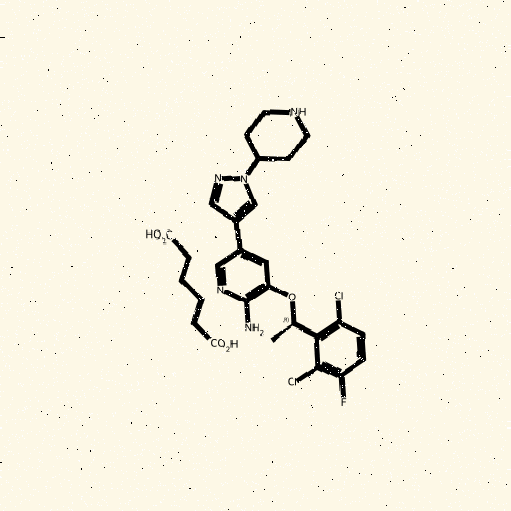 C[C@@H](Oc1cc(-c2cnn(C3CCNCC3)c2)cnc1N)c1c(Cl)ccc(F)c1Cl.O=C(O)CCCCC(=O)O